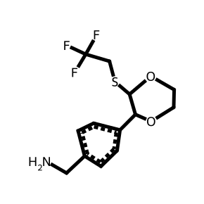 NCc1ccc(C2OCCOC2SCC(F)(F)F)cc1